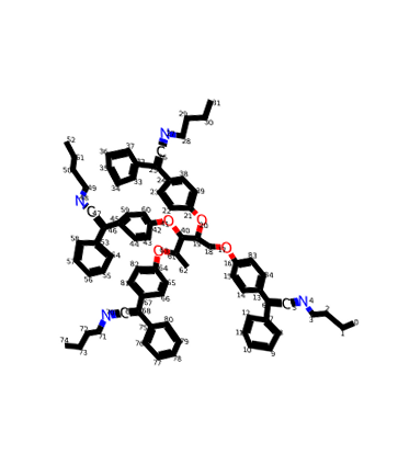 CCCCN=C=C(c1ccccc1)c1ccc(OCC(Oc2ccc(C(=C=NCCCC)c3ccccc3)cc2)C(Oc2ccc(C(=C=NCCCC)c3ccccc3)cc2)C(C)Oc2ccc(C(=C=NCCCC)c3ccccc3)cc2)cc1